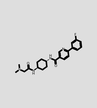 CN(C)CC(=O)N[C@H]1CC[C@H](NC(=O)c2ccc(-c3cccc(F)c3)nc2)CC1